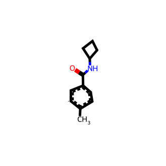 Cc1[c]cc(C(=O)NC2CCC2)cc1